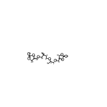 C=C(CCOC(C)COCC1COC(=O)O1)COCC1COC(=O)O1